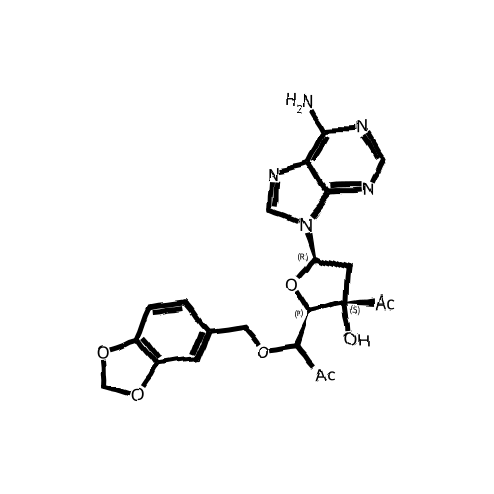 CC(=O)C(OCc1ccc2c(c1)OCO2)[C@H]1O[C@@H](n2cnc3c(N)ncnc32)C[C@@]1(O)C(C)=O